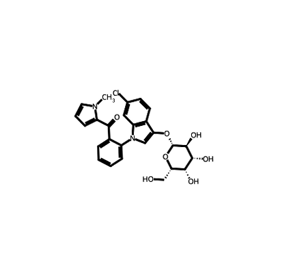 Cn1cccc1C(=O)c1ccccc1-n1cc(O[C@H]2O[C@@H](CO)[C@@H](O)[C@@H](O)[C@@H]2O)c2ccc(Cl)cc21